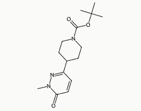 Cn1nc(C2CCN(C(=O)OC(C)(C)C)CC2)ccc1=O